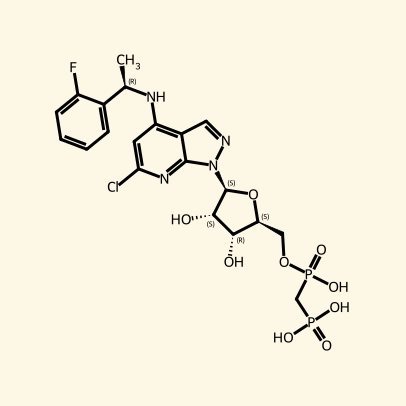 C[C@@H](Nc1cc(Cl)nc2c1cnn2[C@H]1O[C@@H](COP(=O)(O)CP(=O)(O)O)[C@H](O)[C@@H]1O)c1ccccc1F